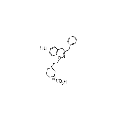 Cl.O=C(O)[C@@H]1CCCN(CCON=C(Cc2ccccc2)Cc2ccccc2)C1